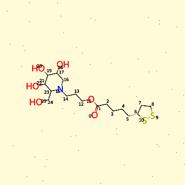 O=C(CCCC[C@@H]1CCSS1)OCCCN1CC(O)C(O)[C@H](O)C1CO